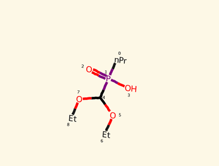 CCCP(=O)(O)C(OCC)OCC